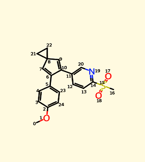 COc1ccc(C2=CC3(C=C2c2ccc(S(C)(=O)=O)nc2)CC3)cc1